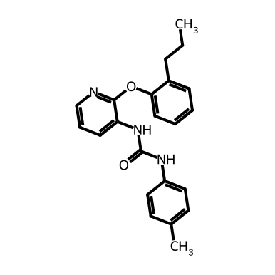 CCCc1ccccc1Oc1ncccc1NC(=O)Nc1ccc(C)cc1